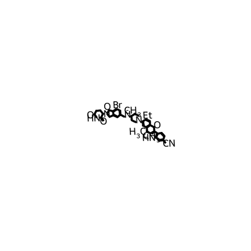 CCc1cc2c(cc1N1CCC(N(C)Cc3cc(Br)c4c(c3)CN(C3CCC(=O)NC3=O)C4=O)CC1)C(C)(C)c1[nH]c3cc(C#N)ccc3c1C2=O